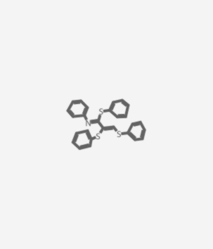 C(Sc1ccccc1)=C(Sc1ccccc1)C(=Nc1ccccc1)Sc1ccccc1